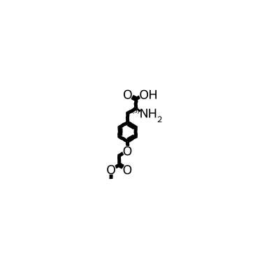 COC(=O)COc1ccc(C[C@H](N)C(=O)O)cc1